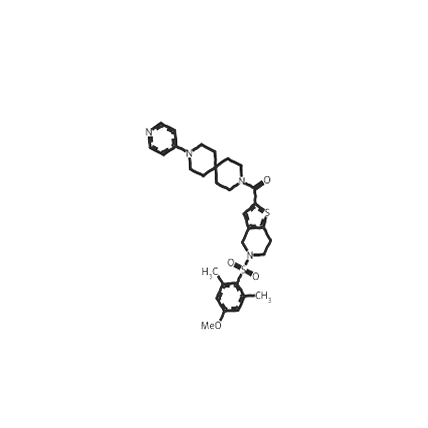 COc1cc(C)c(S(=O)(=O)N2CCc3sc(C(=O)N4CCC5(CC4)CCN(c4ccncc4)CC5)cc3C2)c(C)c1